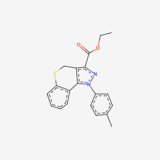 CCOC(=O)c1nn(-c2ccc(C)cc2)c2c1CSc1ccccc1-2